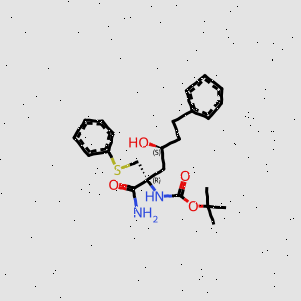 CC(C)(C)OC(=O)N[C@](CSc1ccccc1)(C[C@@H](O)CCc1ccccc1)C(N)=O